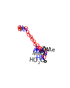 CC[C@H](C)[C@@H]([C@@H](CC(=O)N1CCC[C@H]1[C@H](OC)[C@@H](C)C(=O)N[C@@H](Cc1ccccc1)C(=O)O)OC)N(C)C(=O)[C@@H](NC(=O)[C@]1(C)CCCN1C(=O)CCOCCOCCOCCOCCOCCOCCNC(=O)c1ccc2nc(S(C)(=O)=O)sc2c1)C(C)C